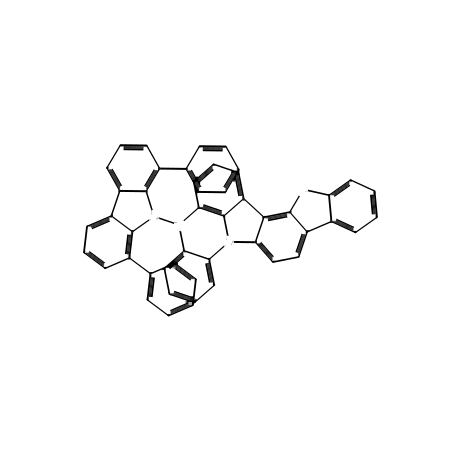 c1ccc(-c2cccc3c4cccc(-c5ccccc5)c4n(B4c5ccccc5-n5c6ccc7c8ccccc8sc7c6c6cccc4c65)c23)cc1